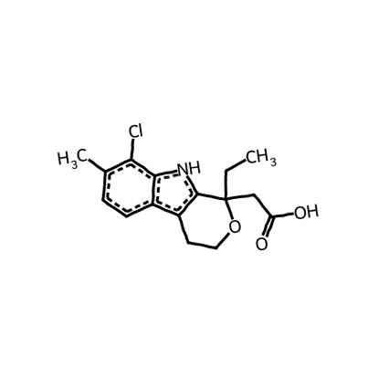 CCC1(CC(=O)O)OCCc2c1[nH]c1c(Cl)c(C)ccc21